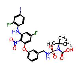 CC(C)(C)N(C(=O)O)S(=O)(=O)NCc1cccc(Oc2cc(F)cc(Nc3ccc(I)cc3F)c2[N+](=O)[O-])c1